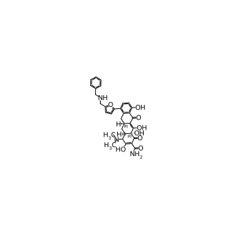 CN(C)C1C(O)=C(C(N)=O)C(=O)[C@]2(O)C(O)=C3C(=O)c4c(O)ccc(-c5ccc(CNCc6ccccc6)o5)c4C[C@H]3C[C@H]12